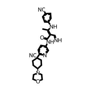 C/C(Nc1ccc(C#N)cc1)=C(/C=N)C(=O)Nc1ccc([C@]2(C#N)CC[C@@H](N3CCOCC3)CC2)nc1